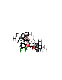 C[C@H]1[C@@H](c2ccc(F)c(F)c2OCCO[Si](C)(C)C(C)(C)C)[C@H](C(=O)O)O[C@@]1(C)C(F)(F)F